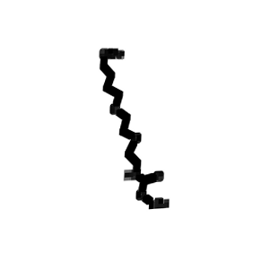 CCCCOC(=O)NCCOCCOCCCCOC